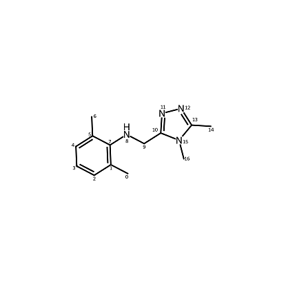 Cc1cccc(C)c1NCc1nnc(C)n1C